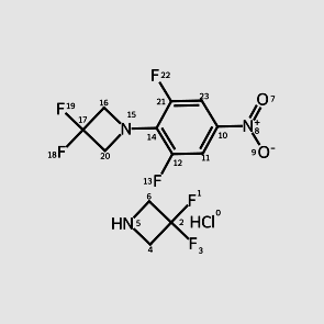 Cl.FC1(F)CNC1.O=[N+]([O-])c1cc(F)c(N2CC(F)(F)C2)c(F)c1